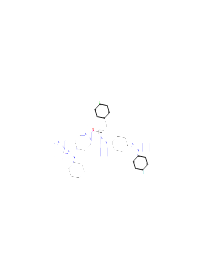 CN(C)C(=O)N(C1CCCCC1)C1CCN(C(=O)[C@@H](Cc2ccc(Cl)cc2)N[C@H]2CC[C@H](Nc3ccc(F)cc3)CC2)CC1